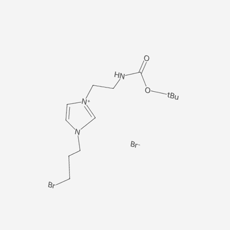 CC(C)(C)OC(=O)NCC[n+]1ccn(CCCBr)c1.[Br-]